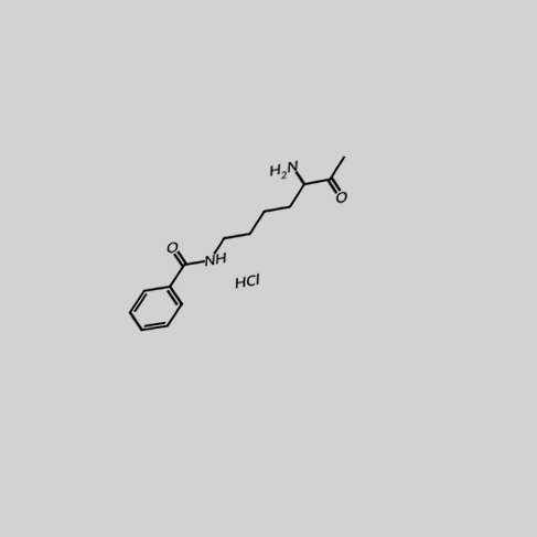 CC(=O)C(N)CCCCNC(=O)c1ccccc1.Cl